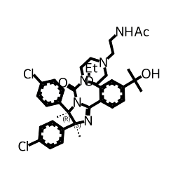 CCOc1cc(C(C)(C)O)ccc1C1=N[C@@](C)(c2ccc(Cl)cc2)[C@@](C)(c2ccc(Cl)cc2)N1C(=O)N1CCN(CCNC(C)=O)CC1